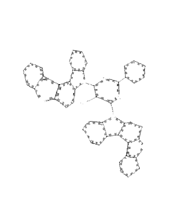 N#Cc1c(-n2c3ccccc3c3c4c(ccc32)oc2ccccc24)nc(-c2ccccc2)nc1-n1c2ccccc2c2c3c(ccc21)oc1ccccc13